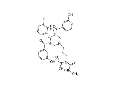 CNC(=O)[C@@H](CCCN1C[C@H](C(=O)c2cccc(O)c2)[C@H](c2cccc(F)c2C)[C@H](C(=O)c2cccc(O)c2)C1)N(C)C